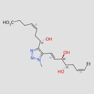 CC/C=C\C[C@H](O)[C@H](O)/C=C/c1c([C@@H](O)C/C=C\CCC(=O)O)nnn1C